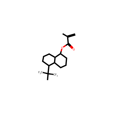 C=C(C)C(=O)OC1CCCC2C1CCCC2C(C)(C(F)(F)F)C(F)(F)F